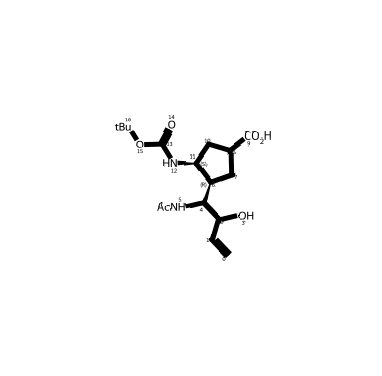 C=CC(O)C(NC(C)=O)[C@@H]1CC(C(=O)O)C[C@@H]1NC(=O)OC(C)(C)C